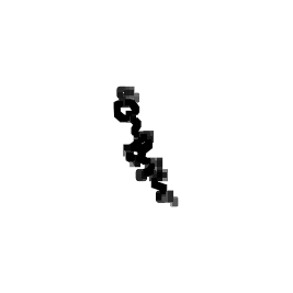 CCCNC(=O)Nc1ncnc2c1cnn2CCN1CCCN(C)CC1